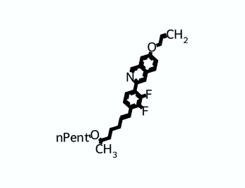 C=CCOc1ccc2cc(-c3ccc(/C=C/CCCC(C)OCCCCC)c(F)c3F)ncc2c1